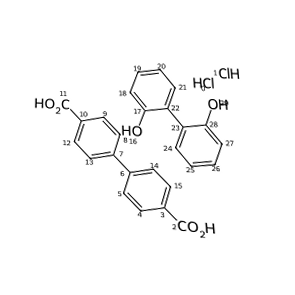 Cl.Cl.O=C(O)c1ccc(-c2ccc(C(=O)O)cc2)cc1.Oc1ccccc1-c1ccccc1O